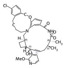 COc1ncccc1[C@@]1(O)/C=C/C[C@H](C)[C@@H](C)S(=O)(=O)NC(=O)c2ccc3c(c2)N(CCCCc2cc(Cl)ccc2CO3)C[C@@H]2CC[C@H]21